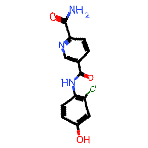 NC(=O)c1ccc(C(=O)Nc2ccc(O)cc2Cl)cn1